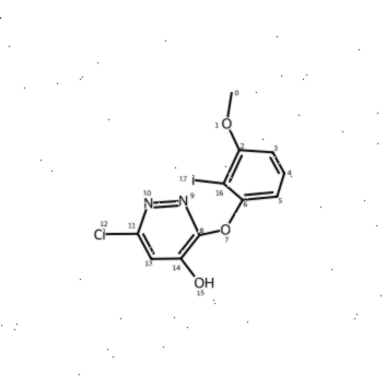 COc1cccc(Oc2nnc(Cl)cc2O)c1I